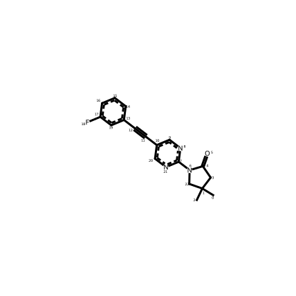 CC1(C)CC(=O)N(c2ncc(C#Cc3cccc(F)c3)cn2)C1